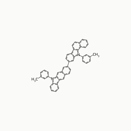 Cc1cccc(-n2c3ccccc3c3cc4ccc(-c5ccc6c7ccc8ccccc8c7n(-c7cccc(C)c7)c6c5)cc4cc32)c1